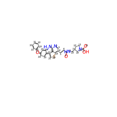 Nc1ncc(C=CC(=O)NC[C@H]2CCN(C(=O)O)C2)c2scc(-c3ccc(Oc4ccccc4)cc3)c12